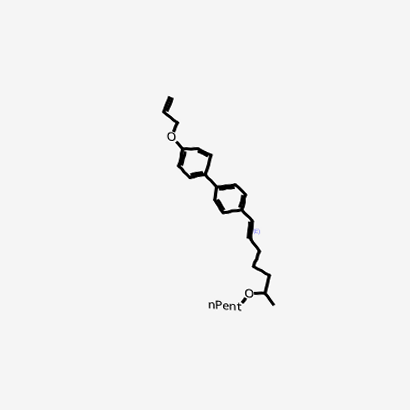 C=CCOc1ccc(-c2ccc(/C=C/CCCC(C)OCCCCC)cc2)cc1